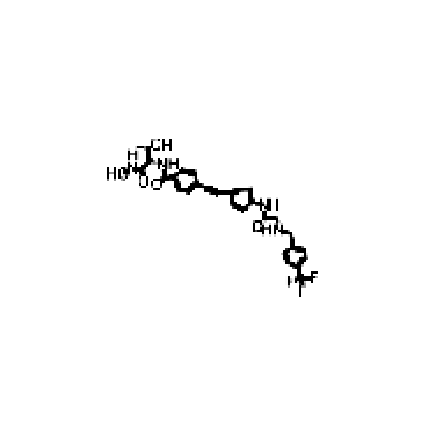 C[C@@H](O)[C@H](NC(=O)c1ccc(C#Cc2ccc(NC(=O)CNCc3ccc(C(F)(F)F)cc3)cc2)cc1)C(=O)NO